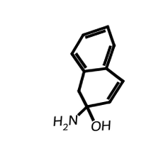 NC1(O)C=Cc2ccccc2C1